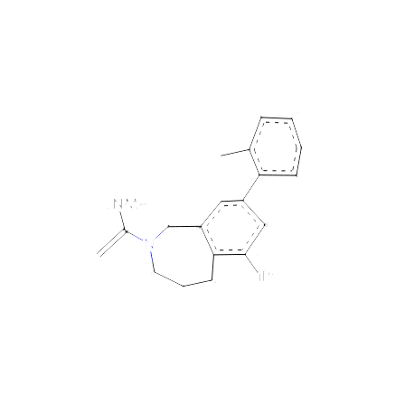 C=C(NC)N1CCCc2c(cc(-c3ccccc3C)cc2C(C)C)C1